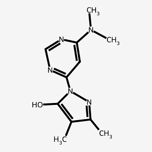 Cc1nn(-c2cc(N(C)C)ncn2)c(O)c1C